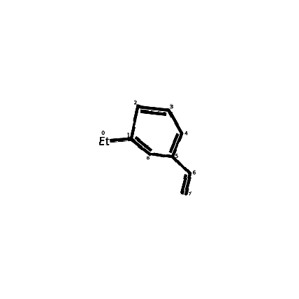 [CH2]Cc1cccc(C=C)c1